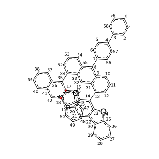 c1ccc(-c2ccc(-c3c4cccc(-c5c6ccccc6cc6c5oc5ccccc56)c4cc4c(-c5c6ccccc6cc6c5oc5ccccc56)cccc34)cc2)cc1